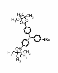 CC(C)(C)c1ccc(N(c2ccc(B3OC(C)(C)C(C)(C)O3)cc2)c2ccc(B3OC(C)(C)C3(C)C)cc2)cc1